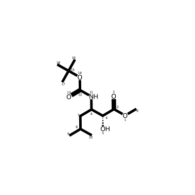 COC(=O)[C@H](O)C(CC(C)C)NC(=O)OC(C)(C)C